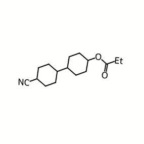 CCC(=O)OC1CCC(C2CCC(C#N)CC2)CC1